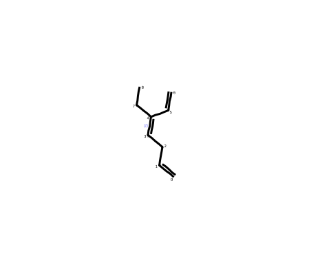 C=CC/[C]=C(\C=C)CC